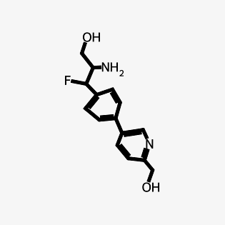 NC(CO)C(F)c1ccc(-c2ccc(CO)nc2)cc1